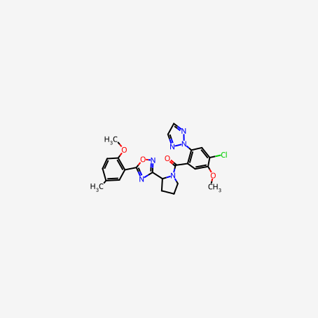 COc1cc(C(=O)N2CCCC2c2noc(-c3cc(C)ccc3OC)n2)c(-n2nccn2)cc1Cl